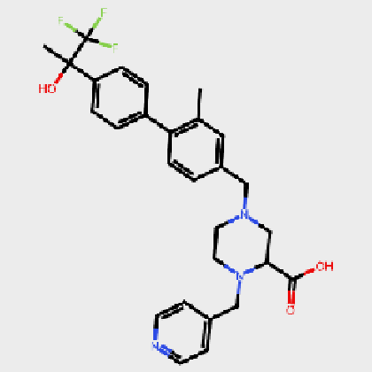 Cc1cc(CN2CCN(Cc3ccncc3)C(C(=O)O)C2)ccc1-c1ccc(C(C)(O)C(F)(F)F)cc1